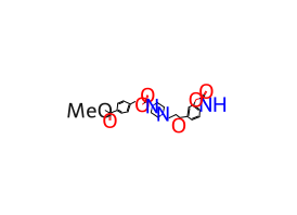 COC(=O)c1ccc(COC(=O)N2CCN(CCC(=O)c3ccc4[nH]c(=O)oc4c3)CC2)cc1